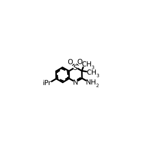 CC(C)c1ccc2c(c1)N=C(N)C(C)(C)S2(=O)=O